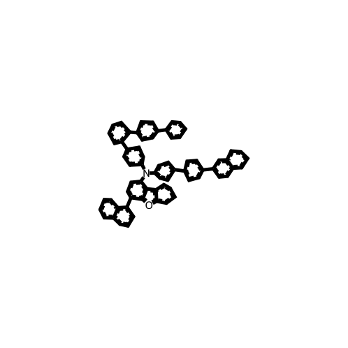 c1ccc(-c2ccc(-c3ccccc3-c3ccc(N(c4ccc(-c5ccc(-c6ccc7ccccc7c6)cc5)cc4)c4ccc(-c5cccc6ccccc56)c5oc6ccccc6c45)cc3)cc2)cc1